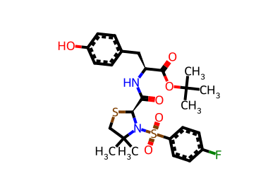 CC(C)(C)OC(=O)[C@H](Cc1ccc(O)cc1)NC(=O)[C@@H]1SCC(C)(C)N1S(=O)(=O)c1ccc(F)cc1